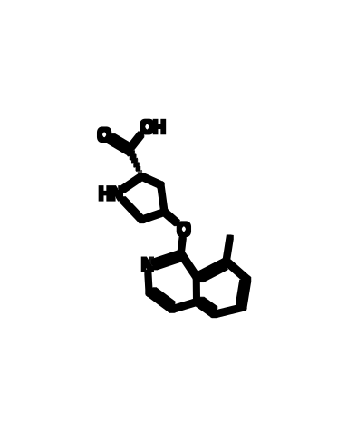 Cc1cccc2ccnc(OC3CN[C@H](C(=O)O)C3)c12